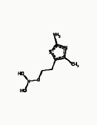 Cc1nc(N)sc1CCON(O)O